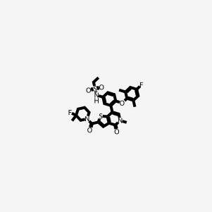 CCS(=O)(=O)Nc1ccc(Oc2c(C)cc(F)cc2C)c(-c2cn(C)c(=O)c3cc(C(=O)N4CCCC(C)(F)C4)sc23)c1